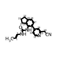 C/C=C/NC(=O)Nc1c(-c2ccnc(CC#N)c2)ccc2c1CCC2